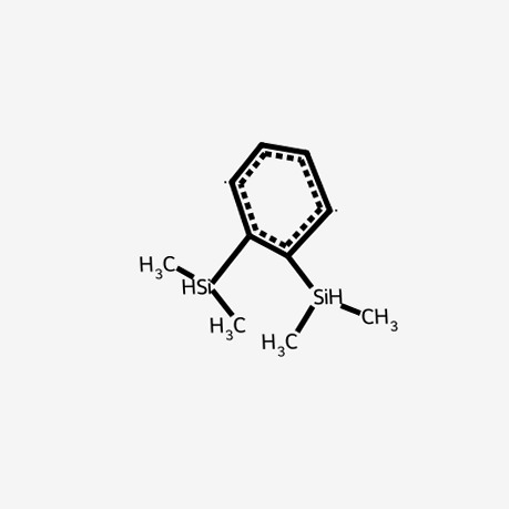 C[SiH](C)c1[c]cc[c]c1[SiH](C)C